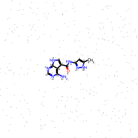 Cc1cc(NC(=O)c2c[nH]c3ncnc(N)c23)n[nH]1